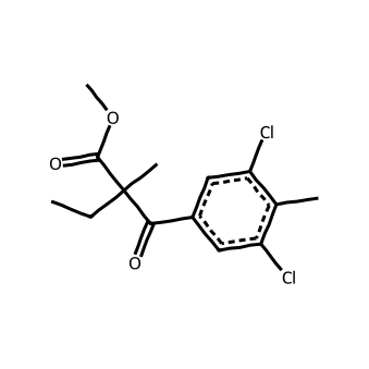 CCC(C)(C(=O)OC)C(=O)c1cc(Cl)c(C)c(Cl)c1